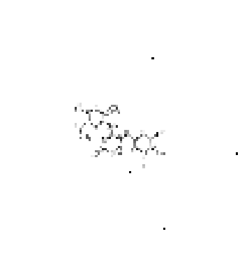 COc1cc(Nc2nc(=O)cnn2Cc2cc(F)c(F)c(F)c2)c(C)cc1Cl